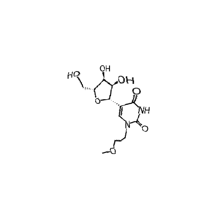 COCCn1cc([C@@H]2O[C@H](CO)[C@@H](O)[C@H]2O)c(=O)[nH]c1=O